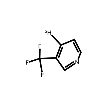 [2H]c1ccncc1C(F)(F)F